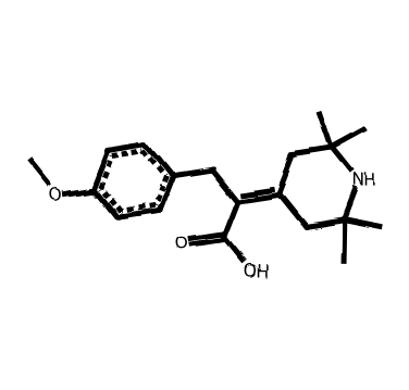 COc1ccc(CC(C(=O)O)=C2CC(C)(C)NC(C)(C)C2)cc1